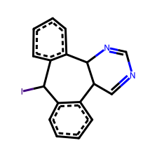 IC1c2ccccc2C2C=NC=NC2c2ccccc21